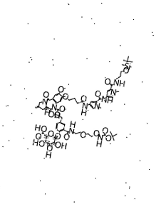 C=C1C[C@H]2C(O)N(C(=O)OCc3ccc(O[C@@H]4O[C@H](C(=O)O)[C@@H](O)[C@H](O)[C@H]4O)c(C(=O)NCCOCCONC(=O)OC(C)(C)C)c3)c3cc(OCCCC(=O)Nc4cc(C(=O)Nc5cc(C(=O)NCCCO[Si](C)(C)C(C)(C)C)n(C)c5)n(C)c4)c(OC)cc3C(=O)N2C1